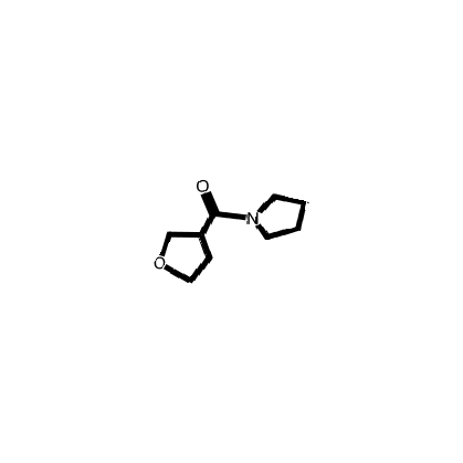 O=C(C1CCOC1)N1C[CH]CC1